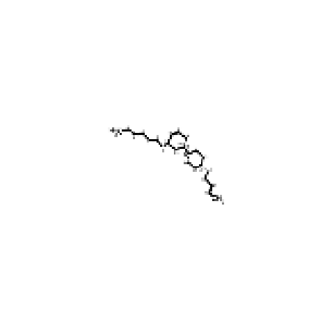 CCCCCCC[C@@H]1CCC[C@@H]([C@H]2CC[C@@H](CCCCC)CC2)C1